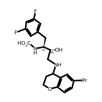 CC(C)c1ccc2c(c1)C(NC[C@@H](O)[C@H](Cc1cc(F)cc(F)c1)NC(=O)O)CCO2